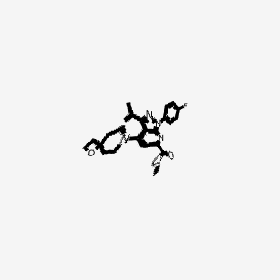 COC(=O)c1cc(N2CCC3(CCO3)CC2)c2c(C(C)C)nn(-c3ccc(F)cc3)c2n1